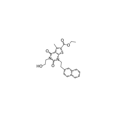 CCOC(=O)c1sc2c(c1C)c(=O)n(CCO)c(=O)n2CCc1ccc2ccccc2c1